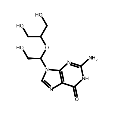 Nc1nc2c(ncn2[C@@H](CO)OC(CO)CO)c(=O)[nH]1